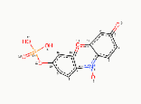 O=c1ccc2[n+]([O-])c3ccc(OP(=O)(O)O)cc3oc-2c1